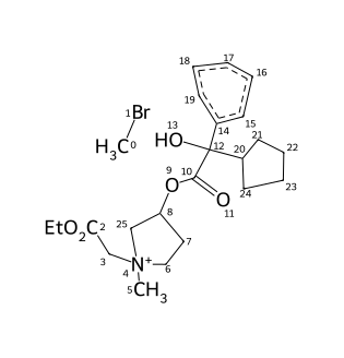 CBr.CCOC(=O)C[N+]1(C)CCC(OC(=O)C(O)(c2ccccc2)C2CCCC2)C1